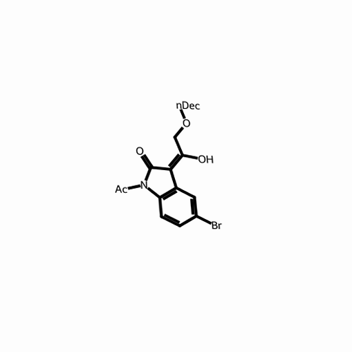 CCCCCCCCCCOCC(O)=C1C(=O)N(C(C)=O)c2ccc(Br)cc21